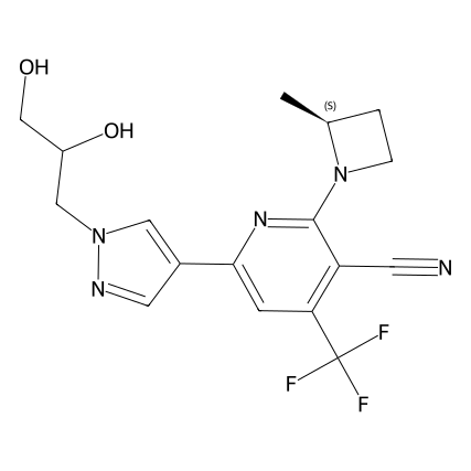 C[C@H]1CCN1c1nc(-c2cnn(CC(O)CO)c2)cc(C(F)(F)F)c1C#N